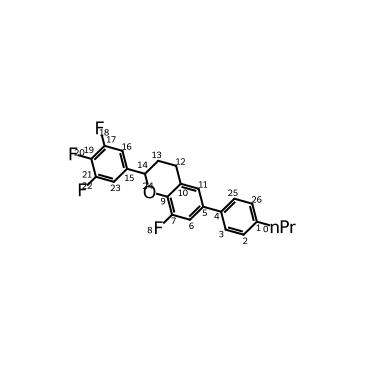 CCCc1ccc(-c2cc(F)c3c(c2)CCC(c2cc(F)c(F)c(F)c2)O3)cc1